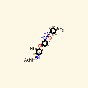 CC(=O)Nc1nc2ccc(Oc3cccc(NC(=O)Nc4ccc(C(F)(F)F)cc4)c3)c(C#N)c2s1